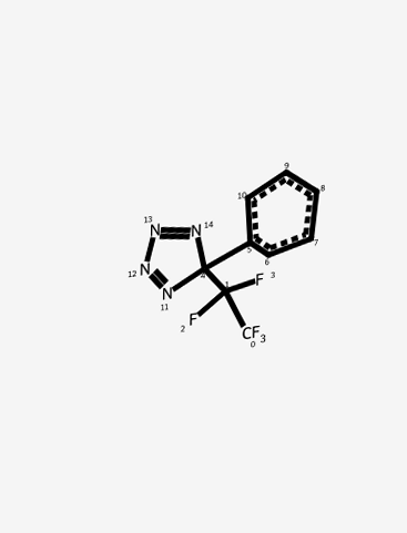 FC(F)(F)C(F)(F)C1(c2ccccc2)N=NN=N1